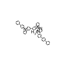 CN1C(n2c3ccccc3c3cc(-c4ccc5c(c4)c4ccccc4n5-c4ccc(-c5ccccc5)cc4)ccc32)=NC=CC1c1cccc(-c2ccc(-c3ccccc3)cc2)c1